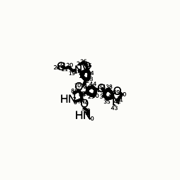 CNCCO[C@@H]1CNC[C@H](OCc2ccc3c(c2)N(CCCOC)CCO3)[C@H]1c1ccc(Oc2ccc3c(c2)OCCN3C)cc1